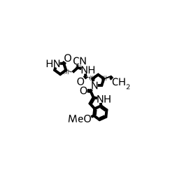 C=C[C@@H]1C[C@@H](C(=O)N[C@H](C#N)C[C@@H]2CCNC2=O)N(C(=O)c2cc3c(OC)cccc3[nH]2)C1